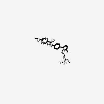 CCOc1cnc(C(=O)Nc2ccc(-c3ccc(C)n3CC/N=C(/N)SC)cc2)cn1